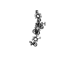 Cc1cc(C(=O)N(C)C)ccc1CCS(=O)(=O)N1CCC2(CC1)N=C(COc1ccc(F)cc1)NC2=O